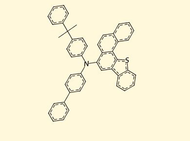 CC(C)(c1ccccc1)c1ccc(N(c2ccc(-c3ccccc3)cc2)c2cc3c4ccccc4sc3c3c2ccc2ccccc23)cc1